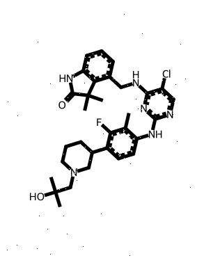 Cc1c(Nc2ncc(Cl)c(NCc3cccc4c3C(C)(C)C(=O)N4)n2)ccc(C2CCCN(CC(C)(C)O)C2)c1F